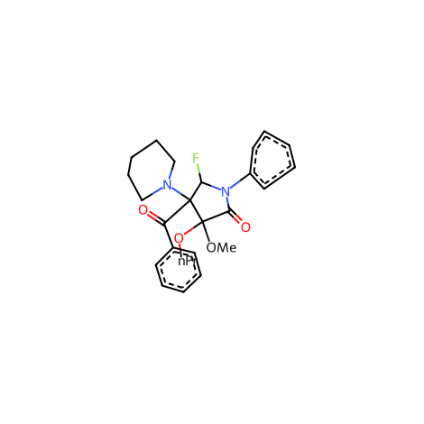 CCCOC1(OC)C(=O)N(c2ccccc2)C(F)C1(C(=O)c1ccccc1)N1CCCCC1